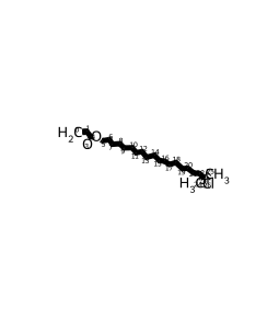 C=CC(=O)OCCCCCCCCCCCCCCCCCC[Si](C)(C)Cl